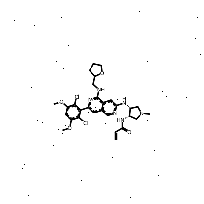 C=CC(=O)N[C@H]1CN(C)C[C@H]1Nc1cc2c(NCC3CCCO3)nc(-c3c(Cl)c(OC)cc(OC)c3Cl)cc2cn1